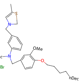 Br.CCCCCCCCCCCCCCOc1ccc(CN(C(C)=O)c2cccc(CN3C=C(C)SC3)c2)cc1OC